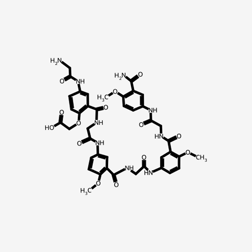 COc1ccc(NC(=O)CNC(=O)c2cc(NC(=O)CNC(=O)c3cc(NC(=O)CNC(=O)c4cc(NC(=O)CN)ccc4OCC(=O)O)ccc3OC)ccc2OC)cc1C(N)=O